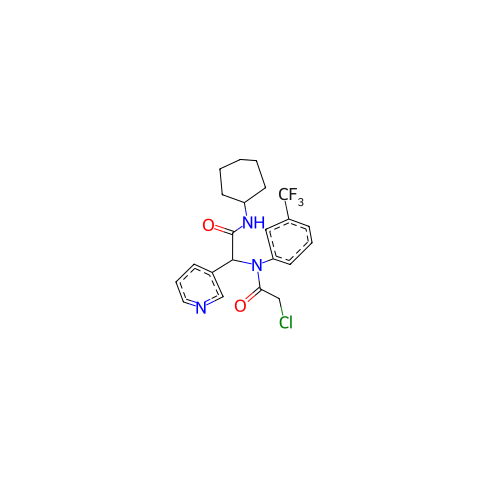 O=C(NC1CCCCC1)C(c1cccnc1)N(C(=O)CCl)c1cccc(C(F)(F)F)c1